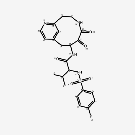 CC(C)C(NS(=O)(=O)c1ccc(F)cc1)C(=O)NC1Cc2ccnc(c2)CCNC(=O)C1=O